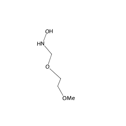 COCCOCNO